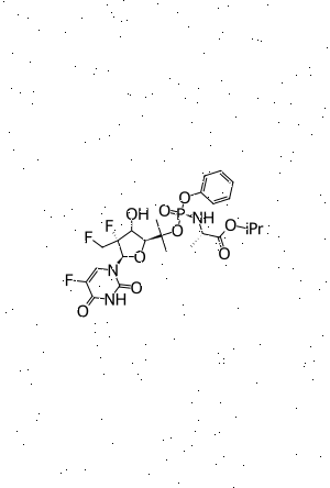 CC(C)OC(=O)[C@H](C)N[P@@](=O)(Oc1ccccc1)OC(C)(C)[C@H]1O[C@@H](n2cc(F)c(=O)[nH]c2=O)[C@@](F)(CF)C1O